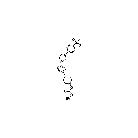 CC(C)OC(=O)ON1CCC(c2coc([C@H]3CCN(c4ccc(S(C)(=O)=O)cc4)C3)n2)CC1